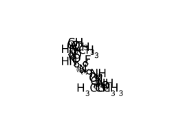 CC[C@@H](C)[C@H](NC(=O)OC)C(=O)N1CCC[C@H]1C(=O)Nc1ccc([C@H]2CC[C@H](c3ccc(NC(=O)[C@@H]4CCCN4C(=O)[C@@H](NC(=O)OC)[C@H](C)CC)cc3)N2c2ccc(F)cc2)cc1